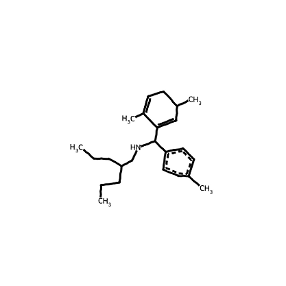 CCCC(CCC)CNC(C1=CC(C)CC=C1C)c1ccc(C)cc1